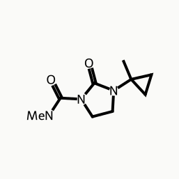 CNC(=O)N1CCN(C2(C)CC2)C1=O